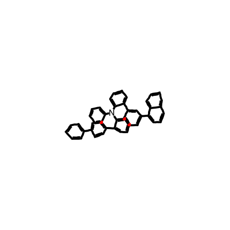 c1ccc(-c2ccc(-c3ccccc3N(c3ccccc3)c3ccccc3-c3cccc(-c4cccc5ccccc45)c3)cc2)cc1